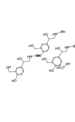 CC(C)(C)NCC(O)c1ccc(O)c(CO)c1.CC(C)(C)NCC(O)c1ccc(O)c(CO)c1.CC(C)(C)NCC(O)c1ccc(O)c(CO)c1.O=S(=O)(O)O